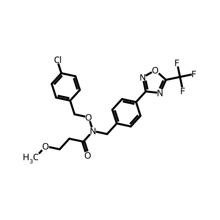 COCCC(=O)N(Cc1ccc(-c2noc(C(F)(F)F)n2)cc1)OCc1ccc(Cl)cc1